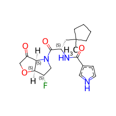 CC1(C[C@H](NC(=O)c2cc[nH]c2)C(=O)N2C[C@H](F)[C@H]3OCC(=O)[C@H]32)CCCC1